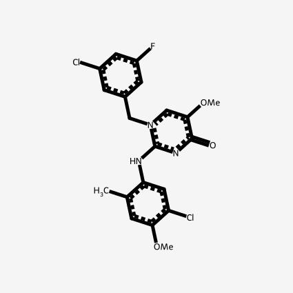 COc1cc(C)c(Nc2nc(=O)c(OC)cn2Cc2cc(F)cc(Cl)c2)cc1Cl